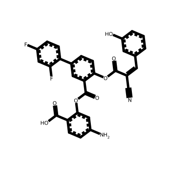 N#CC(=Cc1cccc(O)c1)C(=O)Oc1ccc(-c2ccc(F)cc2F)cc1C(=O)Oc1cc(N)ccc1C(=O)O